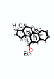 CCOCC1CC2CC=CC[C@@H]2[C@H]2CC[C@]3(C)CCC[C@H]3[C@H]12